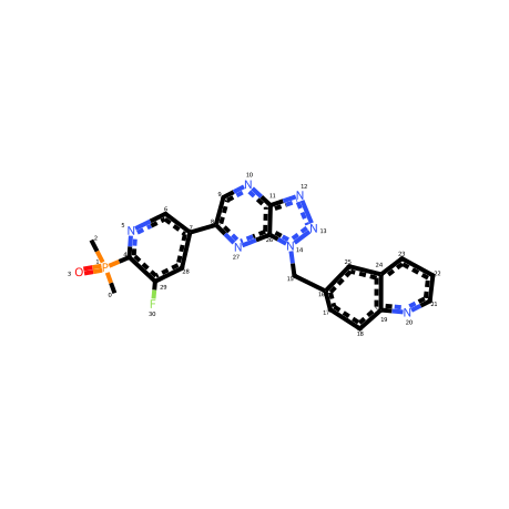 CP(C)(=O)c1ncc(-c2cnc3nnn(Cc4ccc5ncccc5c4)c3n2)cc1F